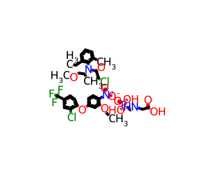 CCOc1cc(Oc2ccc(C(F)(F)F)cc2Cl)ccc1[N+](=O)[O-].CCc1cccc(C)c1N(C(=O)CCl)C(C)COC.O=C(O)CNCP(=O)(O)O